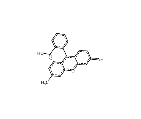 Cc1ccc2c(-c3ccccc3C(=O)O)c3ccc(=N)cc-3oc2c1